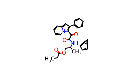 CCC(=O)OCC(C)NC(=O)C(=O)c1c(-c2ccccc2)cc2ccccn12.c1cc2cc-2c1